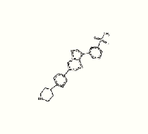 NS(=O)(=O)c1cccc(-c2cnn3cc(-c4ccc(C5CCNCC5)cc4)cnc23)c1